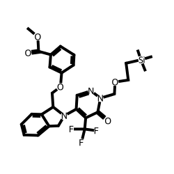 COC(=O)c1cccc(OCC2c3ccccc3CN2c2cnn(COCC[Si](C)(C)C)c(=O)c2C(F)(F)F)c1